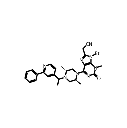 CCn1c(CC#N)nc2c(N3C[C@@H](C)N(C(C)c4ccnc(-c5ccccc5)c4)C[C@@H]3C)nc(=O)n(C)c21